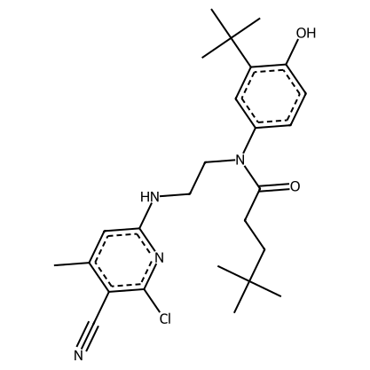 Cc1cc(NCCN(C(=O)CCC(C)(C)C)c2ccc(O)c(C(C)(C)C)c2)nc(Cl)c1C#N